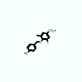 N#Cc1ccc(COc2c(I)cc(C(=O)O)cc2I)cc1